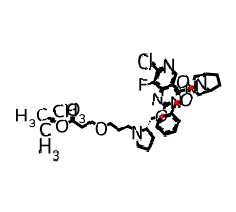 CC(C)(C)OC(=O)CCOCCCN1CCC[C@H]1COc1nc(N2CC3CCC(C2)N3C(=O)OCc2ccccc2)c2cnc(Cl)c(F)c2n1